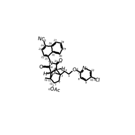 CC(=O)O[C@H]1CC2(CCOc3ccc(Cl)cn3)OC1(C)[C@@H]1C(=O)N(c3ccc(C#N)c4ccccc34)C(=O)[C@@H]12